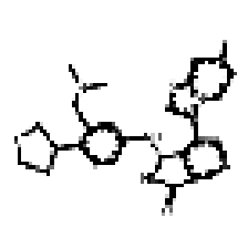 CN(C)Cc1cc(N[C@@H]2NC(=O)c3cncc(-c4cnc5cc(F)ccn45)c32)ccc1C1CCOC1